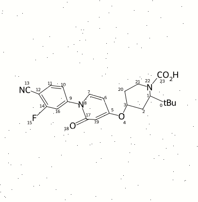 CC(C)(C)C1CC(Oc2ccn(-c3ccc(C#N)c(F)c3)c(=O)c2)CCN1C(=O)O